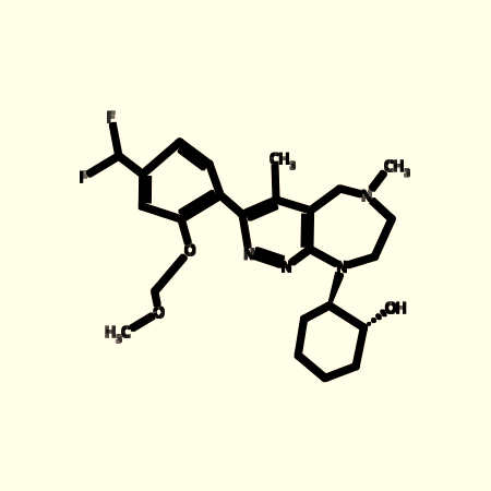 COCOc1cc(C(F)F)ccc1-c1nnc2c(c1C)CN(C)CCN2[C@@H]1CCCC[C@H]1O